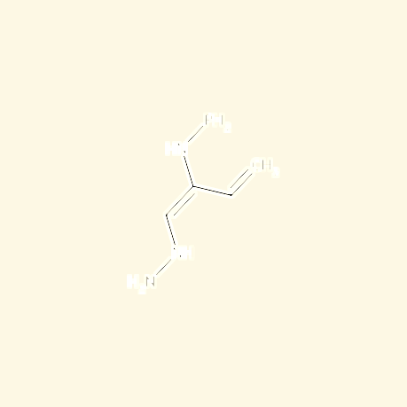 C=C/C(=C\NN)NP